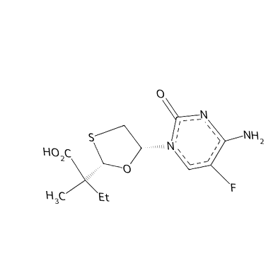 CCC(C)(C(=O)O)[C@H]1O[C@@H](n2cc(F)c(N)nc2=O)CS1